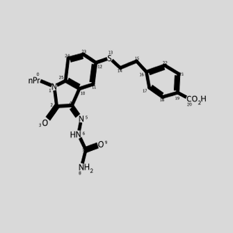 CCCN1C(=O)/C(=N\NC(N)=O)c2cc(SCCc3ccc(C(=O)O)cc3)ccc21